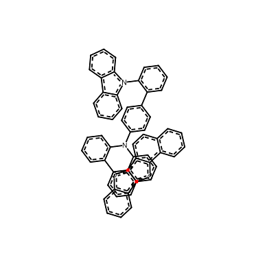 c1ccc(N(c2ccc(-c3ccccc3-n3c4ccccc4c4ccccc43)cc2)c2cccc3c2oc2ccccc23)c(-c2cccc3oc4c5ccccc5ccc4c23)c1